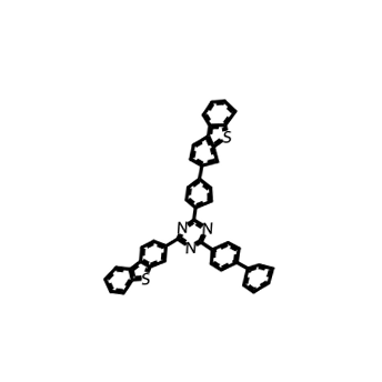 c1ccc(-c2ccc(-c3nc(-c4ccc(-c5ccc6c(c5)sc5ccccc56)cc4)nc(-c4ccc5c(c4)sc4ccccc45)n3)cc2)cc1